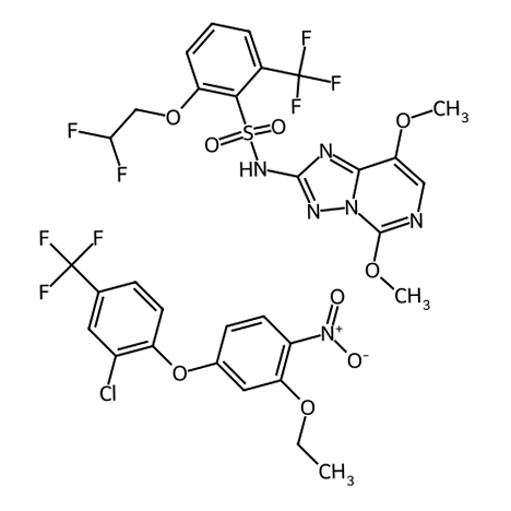 CCOc1cc(Oc2ccc(C(F)(F)F)cc2Cl)ccc1[N+](=O)[O-].COc1cnc(OC)n2nc(NS(=O)(=O)c3c(OCC(F)F)cccc3C(F)(F)F)nc12